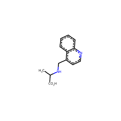 CC(NCc1ccnc2ccccc12)C(=O)O